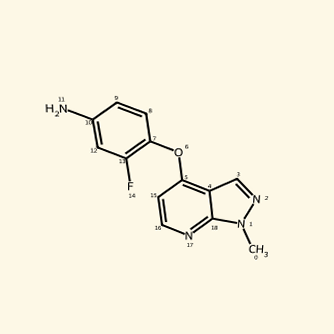 Cn1ncc2c(Oc3ccc(N)cc3F)ccnc21